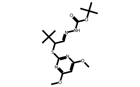 COc1cc(OC)nc(SC(/C=N/NC(=O)OC(C)(C)C)C(C)(C)C)n1